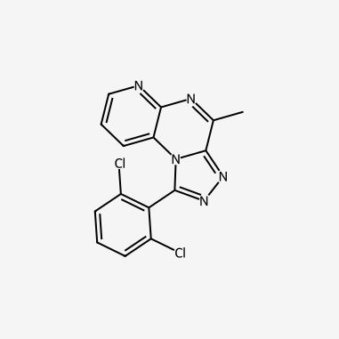 Cc1nc2ncccc2n2c(-c3c(Cl)cccc3Cl)nnc12